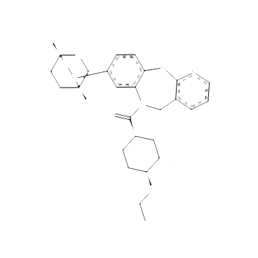 CCO[C@H]1CC[C@@H](C(=O)N2Cc3cccnc3Nc3ccc(N4C[C@@H]5CC[C@H]4CO5)cc32)C[C@@H]1F